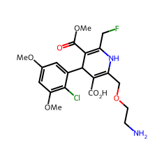 COC(=O)C1=C(CF)NC(COCCN)=C(C(=O)O)C1c1cc(OC)cc(OC)c1Cl